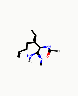 C=CCC/C(=C\C)C(NC(=O)CC)/C(=N/C)NC(C)(C)C